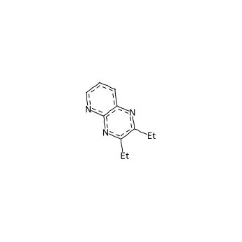 CCc1nc2cccnc2nc1CC